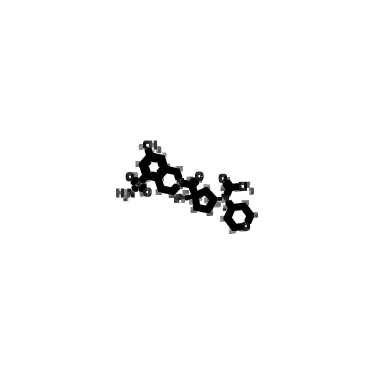 Cc1cc2c(c(S(N)(=O)=O)c1)CCN(C(=O)[C@@]1(C(C)C)CC[C@@H](N(C(=O)C(F)(F)F)C3CCOCC3)C1)C2